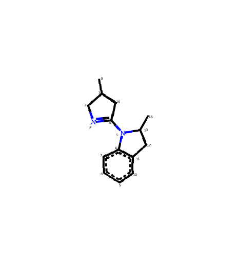 CC1CN=C(N2c3ccccc3CC2C)C1